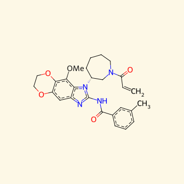 C=CC(=O)N1CCCC[C@@H](n2c(NC(=O)c3cccc(C)c3)nc3cc4c(c(OC)c32)OCCO4)C1